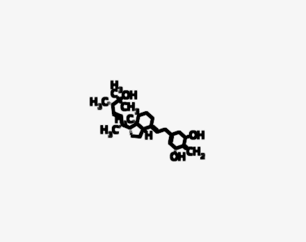 C=C1[C@H](O)C=C(C/C=C2\CCC[C@]3(C)[C@@H]([C@H](C)/C=C/[C@H](C)C(C)(C)O)CC[C@@H]23)C[C@H]1O